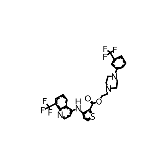 O=C(OCCN1CCN(c2cccc(C(F)(F)F)c2)CC1)c1sccc1Nc1ccnc2c(C(F)(F)F)cccc12